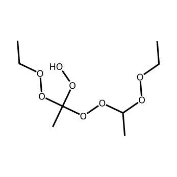 CCOOC(C)OOC(C)(OO)OOCC